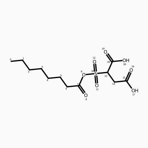 CCCCCCCC(=O)OS(=O)(=O)C(CC(=O)O)C(=O)O